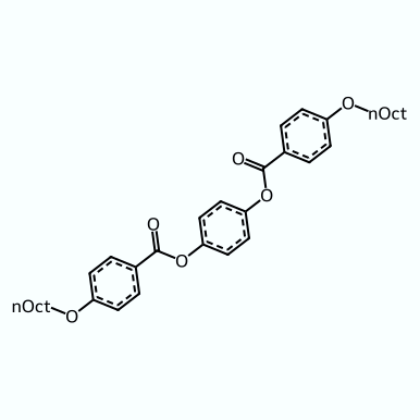 CCCCCCCCOc1ccc(C(=O)Oc2ccc(OC(=O)c3ccc(OCCCCCCCC)cc3)cc2)cc1